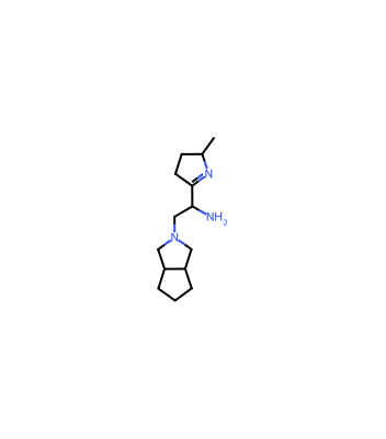 CC1CCC(C(N)CN2CC3CCCC3C2)=N1